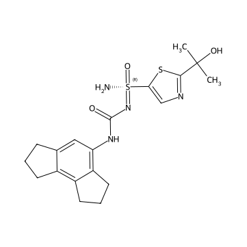 CC(C)(O)c1ncc([S@](N)(=O)=NC(=O)Nc2cc3c(c4c2CCC4)CCC3)s1